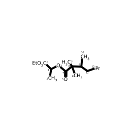 CCOC(=O)C(C)OC(=O)C(C)(C)C(C)CC(C)C